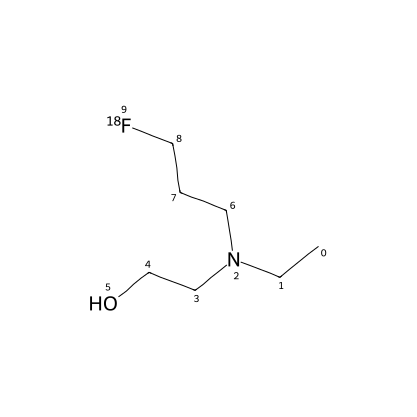 CCN(CCO)CCC[18F]